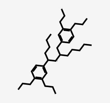 CCCCCC([CH]C(CCCC)c1ccc(CCC)c(CCC)c1)Cc1ccc(CCC)c(CCC)c1